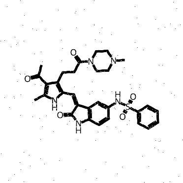 CC(=O)c1c(C)[nH]c(C=C2C(=O)Nc3ccc(NS(=O)(=O)c4ccccc4)cc32)c1CCC(=O)N1CCN(C)CC1